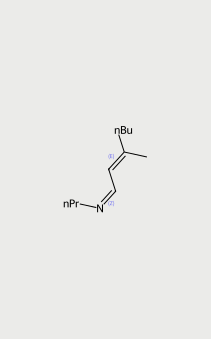 CCCC/C(C)=C/C=N\CCC